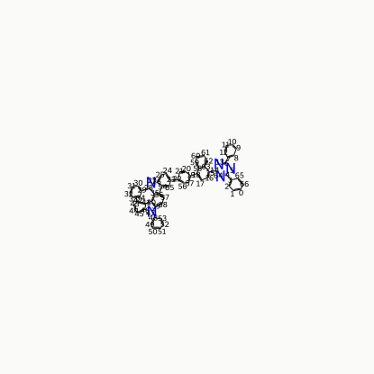 c1ccc(-c2nc(-c3ccccc3)nc(-c3ccc(-c4ccc(-c5ccc6nc(-c7ccccc7)c7c(ccc8c7c7ccccc7n8-c7ccccc7)c6c5)cc4)c4ccccc34)n2)cc1